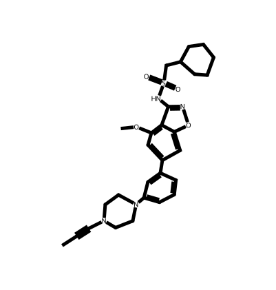 CC#CN1CCN(c2cccc(-c3cc(OC)c4c(NS(=O)(=O)CC5CCCCC5)noc4c3)c2)CC1